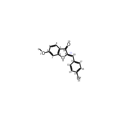 COc1ccc2c(c1)O/C(=C\c1ccc(Br)cc1)C2=O